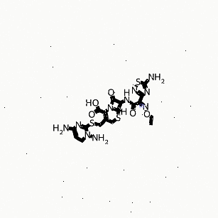 CCO/N=C(\C(=O)NC1C(=O)N2C(C(=O)O)=C(CSC3=NC(N)=CCN3N)CS[C@@H]12)c1nsc(N)n1